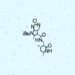 CC[C@@H](C)n1c(C)c(C(=O)NCc2c(C)cc(C)[nH]c2=O)c2cnc(Cl)nc21